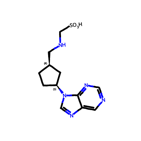 O=S(=O)(O)CNC[C@@H]1CC[C@H](n2cnc3cncnc32)C1